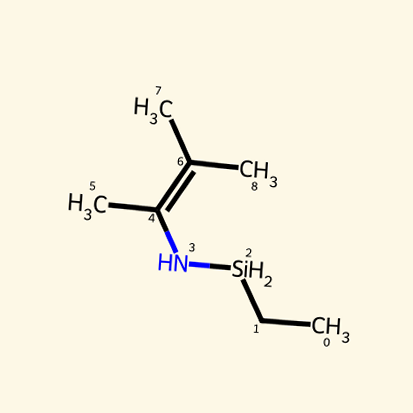 CC[SiH2]NC(C)=C(C)C